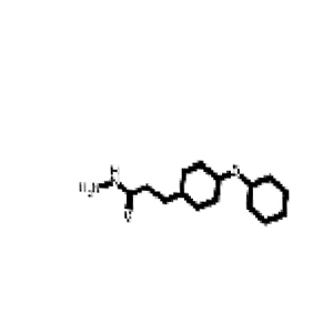 NNC(=O)CCC1CCC(OC2CCCCC2)CC1